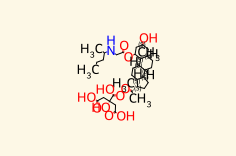 CCCC(C)NCC(=O)OC1C[C@@H](O)C[C@@H]2CC[C@H]3[C@@H]4CC[C@H](C(C)=O)[C@@]4(C)CC[C@@H]3[C@@]12C.O=C(O)CC(O)(CC(=O)O)C(=O)O